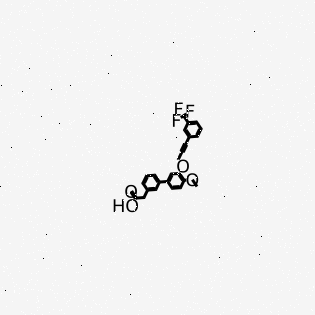 COc1ccc(-c2cccc(CC(=O)O)c2)cc1OCC#Cc1cccc(C(F)(F)F)c1